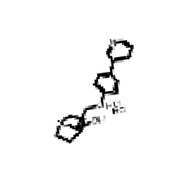 Cl.Cl.OC1(COc2ccc(-c3cccnc3)cc2)CN2CCC1CC2